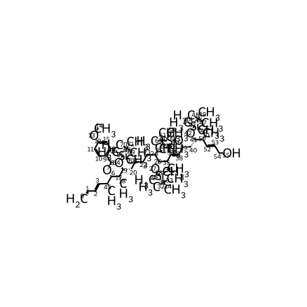 C=CC=C[C@H](C)[C@H](OCc1ccc(OC)cc1)[C@@H](C)[C@@H](CCCC[C@H](C)[C@@H](O[Si](C)(C)C(C)(C)C)[C@@H](C)C=C[C@H](C[C@H](O[Si](C)(C)C(C)(C)C)[C@H](C)C=CCO)O[Si](C)(C)C(C)(C)C)O[Si](C)(C)C(C)(C)C